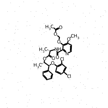 COc1ccnc(C(=O)N[C@@H](C)C(=O)O[C@@H](C)[C@@H](Oc2ccc(Cl)cc2Cl)c2ccccc2)c1OCOC(C)=O